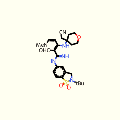 CN/C=C\C(NC1(CC#N)CCOCC1)=C(/C=O)C(=N)Nc1ccc2c(c1)CN(C(C)(C)C)S2(=O)=O